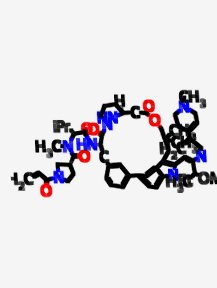 C=CC(=O)N1CC[C@H](C(=O)N(C)[C@H](C(=O)N[C@H]2Cc3cccc(c3)-c3ccc4c(c3)c(c(/C=C(/N=C\C(=C)C3=CCN(C)CC3)[C@H](C)OC)n4CC)CC(C)(C)COC(=O)C[C@@H]3CCCN(N3)C2=O)C(C)C)C1